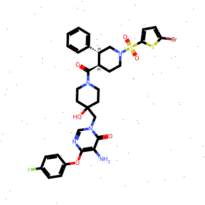 Nc1c(Oc2ccc(F)cc2)ncn(CC2(O)CCN(C(=O)[C@@H]3CCN(S(=O)(=O)c4ccc(Br)s4)C[C@H]3c3ccccc3)CC2)c1=O